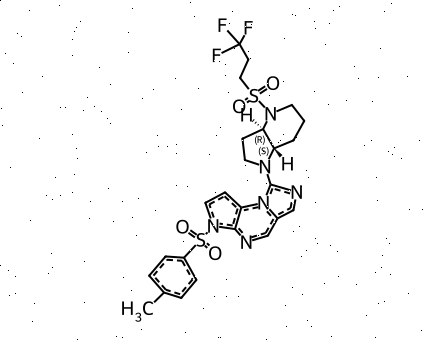 Cc1ccc(S(=O)(=O)n2ccc3c2ncc2cnc(N4CC[C@@H]5[C@@H]4CCCN5S(=O)(=O)CCC(F)(F)F)n23)cc1